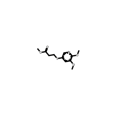 COC(=O)CCSc1cnc(OC)c(OC)c1